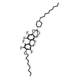 CCCCCCCCC[C@H]1CC[C@H](C(=O)Oc2c(F)c(F)c(-c3c(F)c(F)c(OCCCCCCCC)c(F)c3F)c(F)c2F)CC1